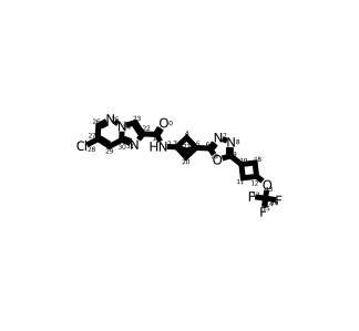 O=C(NC12CC(c3nnc(C4CC(OC(F)(F)F)C4)o3)(C1)C2)c1cn2ncc(Cl)cc2n1